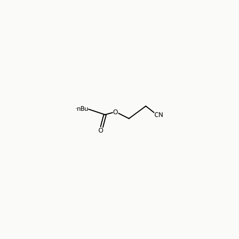 CCC[CH]C(=O)OCCC#N